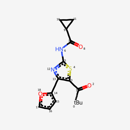 CC(C)(C)C(=O)c1sc(NC(=O)C2CC2)nc1-c1ccco1